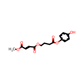 COC(=O)C=CC(=O)OCCCC(=O)Oc1ccc(O)cc1